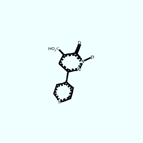 CCn1nc(-c2ccncc2)cc(C(=O)O)c1=O